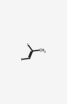 C/C(I)=[C]/I